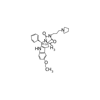 CCOc1ccc2[nH]c3c(c2c1)C[C@@]1(C)C(=O)N(CCCN2CCCC2)C(=O)N1[C@@H]3c1ccccc1